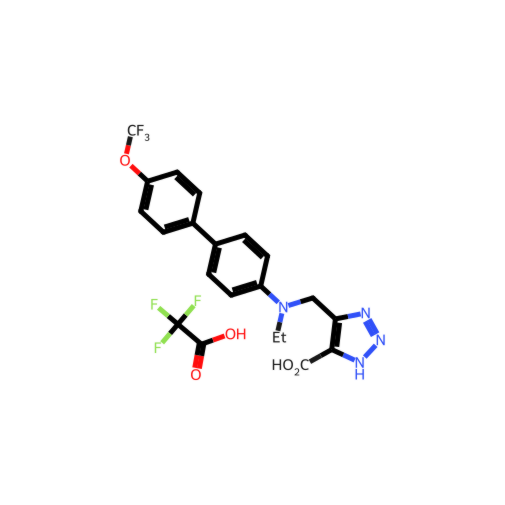 CCN(Cc1nn[nH]c1C(=O)O)c1ccc(-c2ccc(OC(F)(F)F)cc2)cc1.O=C(O)C(F)(F)F